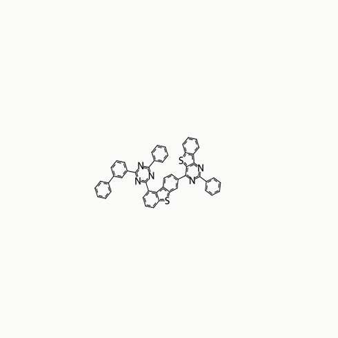 c1ccc(-c2cccc(-c3nc(-c4ccccc4)nc(-c4cccc5sc6cc(-c7nc(-c8ccccc8)nc8c7sc7ccccc78)ccc6c45)n3)c2)cc1